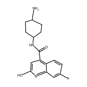 NC1CCC(NC(=O)c2cc(O)nc3cc(F)ccc23)CC1